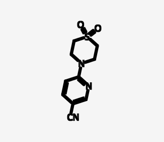 N#Cc1ccc(N2CCS(=O)(=O)CC2)nc1